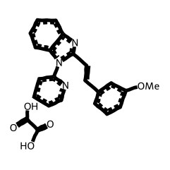 COc1cccc(/C=C/c2nc3ccccc3n2-c2ccccn2)c1.O=C(O)C(=O)O